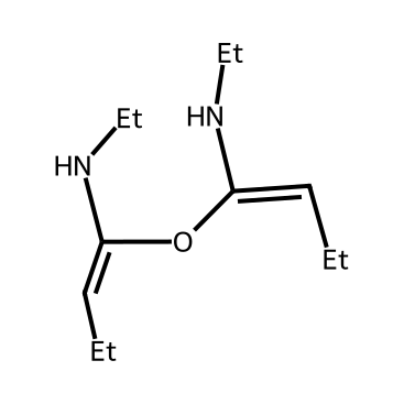 CC/C=C(/NCC)O/C(=C\CC)NCC